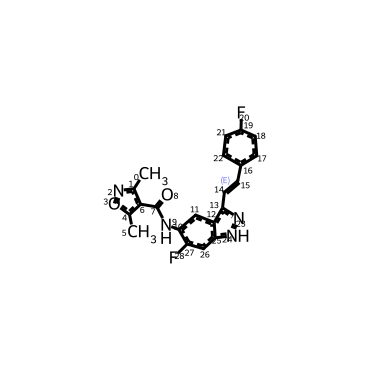 Cc1noc(C)c1C(=O)Nc1cc2c(/C=C/c3ccc(F)cc3)n[nH]c2cc1F